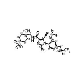 C#Cc1c(C(=O)NC[C@]2(C#N)CC[C@@H](S(C)(=O)=O)CC2)nc(CC)n1-c1ccc(CC(C)(C)C(F)(F)F)cc1OC(F)F